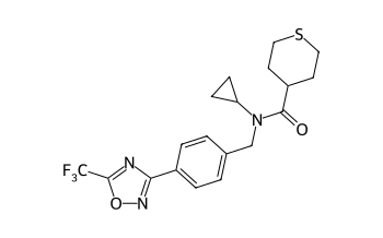 O=C(C1CCSCC1)N(Cc1ccc(-c2noc(C(F)(F)F)n2)cc1)C1CC1